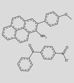 COc1ccc(-c2cc3ccc4cccc5ccc(c2N)c3c45)cc1.O=C(c1ccccc1)c1ccc([N+](=O)[O-])cc1